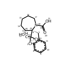 CC(C)(C)[C@@]1(Cc2ccccc2)[C@H](O)CCCCN1C(=O)O